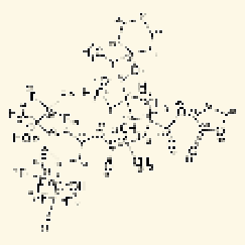 CCC1(OC(=O)C(C)(CC)CC(C)(CC(C)(C)C(=O)OC2CC(C(C)(O)C(F)(F)F)CC(C(O)(C(F)(F)F)C(F)(F)F)C2)C(=O)OC2CCOC2=O)CCCCC1